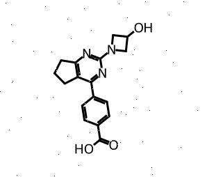 O=C(O)c1ccc(-c2nc(N3CC(O)C3)nc3c2CCC3)cc1